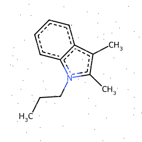 CCCn1c(C)c(C)c2[c]cccc21